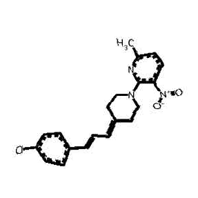 Cc1ccc([N+](=O)[O-])c(N2CCC(=C/C=C/c3ccc(Cl)cc3)CC2)n1